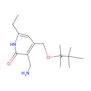 CCc1cc(CO[Si](C)(C)C(C)(C)C)c(CN)c(=O)[nH]1